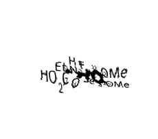 CCC(NC(=O)c1[se]c2cc(OC)c(OC)cc2c1F)C(=O)O